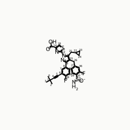 CC(C)(C)C#Cc1cc(-c2nn(-c3nc(C(=O)O)cs3)c(CC3CC3)c2Cc2ccc([S+](N)[O-])c(F)c2)ccc1F